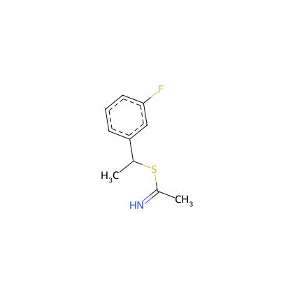 CC(=N)SC(C)c1cccc(F)c1